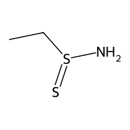 CCS(N)=S